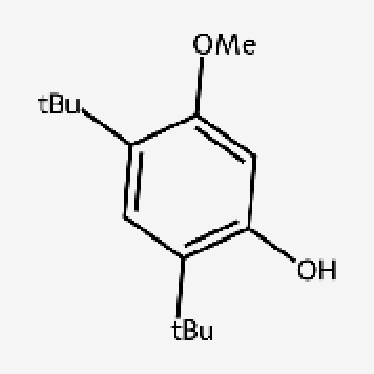 COc1cc(O)c(C(C)(C)C)cc1C(C)(C)C